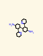 Nc1ccc(-c2ccc(N)cc2-c2ccccn2)c(-c2ccccn2)c1